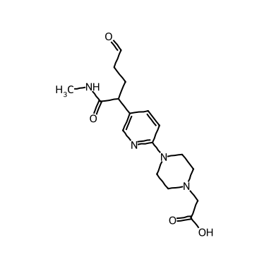 CNC(=O)C(CCC=O)c1ccc(N2CCN(CC(=O)O)CC2)nc1